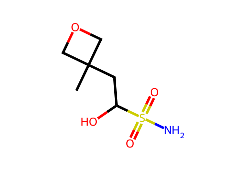 CC1(CC(O)S(N)(=O)=O)COC1